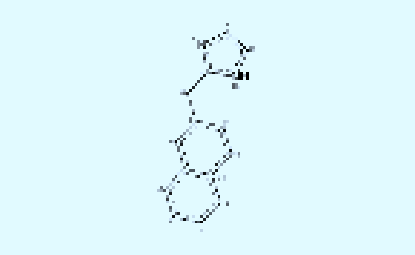 c1ccc2cc(Cc3ncc[nH]3)ccc2c1